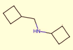 [CH]1CCC1NCC1CCC1